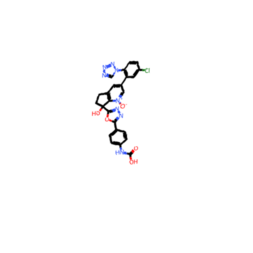 O=C(O)Nc1ccc(-c2nnc(C3(O)CCc4cc(-c5cc(Cl)ccc5-n5cnnn5)c[n+]([O-])c43)o2)cc1